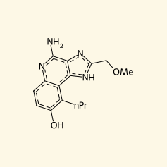 CCCc1c(O)ccc2nc(N)c3nc(COC)[nH]c3c12